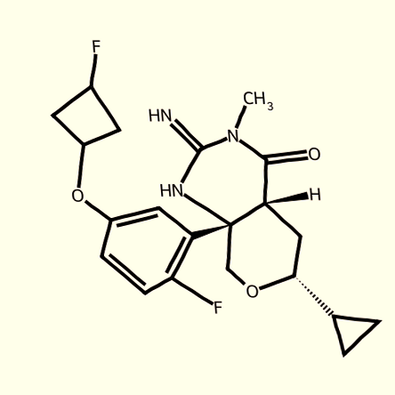 CN1C(=N)N[C@@]2(c3cc(OC4CC(F)C4)ccc3F)CO[C@@H](C3CC3)C[C@H]2C1=O